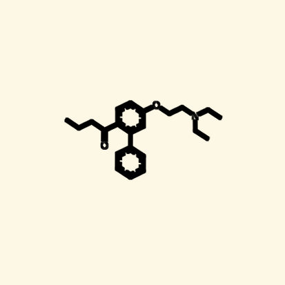 CCCC(=O)c1ccc(OCCN(CC)CC)cc1-c1ccccc1